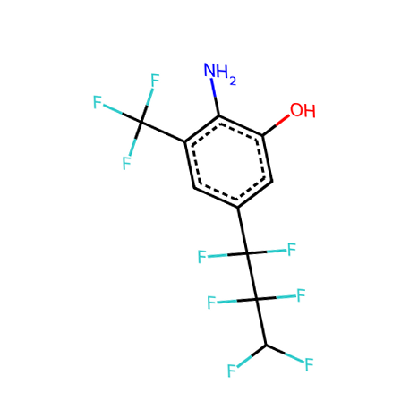 Nc1c(O)cc(C(F)(F)C(F)(F)C(F)F)cc1C(F)(F)F